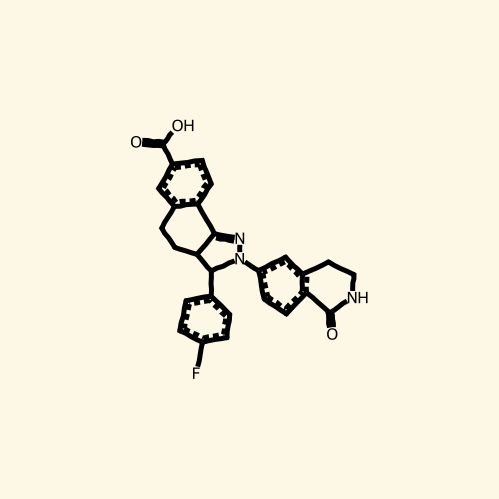 O=C(O)c1ccc2c(c1)CCC1C2=NN(c2ccc3c(c2)CCNC3=O)C1c1ccc(F)cc1